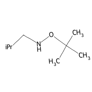 CC(C)CNOC(C)(C)C